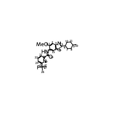 COc1cc2nc(C3CCC(C)CC3)sc2cc1NC(=O)c1cccc(C(C)(F)F)n1